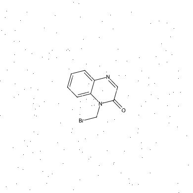 O=c1cnc2ccccc2n1CBr